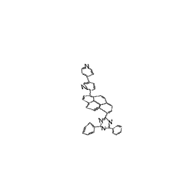 c1ccc(-c2nc(-c3ccccc3)nc(-c3ccc4ccc5c(-c6ccc(-c7ccncc7)cn6)ccc6ccc3c4c65)n2)cc1